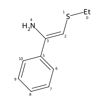 CCS/C=C(\N)c1ccccc1